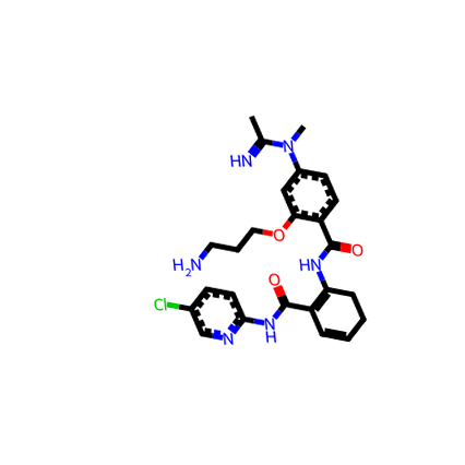 CC(=N)N(C)c1ccc(C(=O)NC2=C(C(=O)Nc3ccc(Cl)cn3)C=CCC2)c(OCCCN)c1